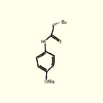 CC[C@@H](C)[CH]C(=S)Nc1ccc(OC)cc1